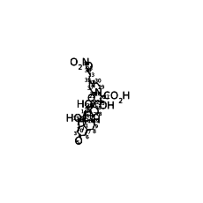 C[C@]12C=CC(=O)C=C1CC[C@@H]1[C@@H]2[C@@H](O)C[C@@]2(C)[C@H]1CC[C@]2(O)C(=O)C(O)C(C(=O)O)N1CCN(CCCO[N+](=O)[O-])CC1